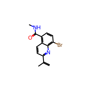 C=C(C)c1ccc2c(C(=O)NC)ccc(Br)c2n1